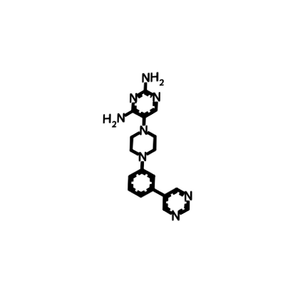 Nc1ncc(N2CCN(c3cccc(-c4cncnc4)c3)CC2)c(N)n1